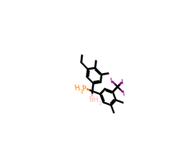 BC(P)(c1cc(C)c(C)c(CC)c1)c1cc(C)c(C)c(C(I)(I)I)c1